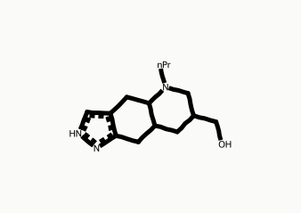 CCCN1CC(CO)CC2Cc3n[nH]cc3CC21